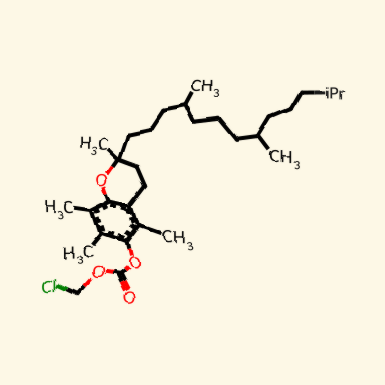 Cc1c(C)c2c(c(C)c1OC(=O)OCCl)CCC(C)(CCCC(C)CCCC(C)CCCC(C)C)O2